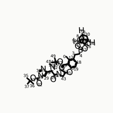 Cc1c(CCB2O[C@@H]3C[C@@H]4C[C@@H](C4(C)C)[C@]3(C)O2)ccc(OC2CN(C(=O)C(c3cn(C(=O)OC(C)(C)C)cn3)N(C)C)C2)c1C(=O)OC(C)(C)C